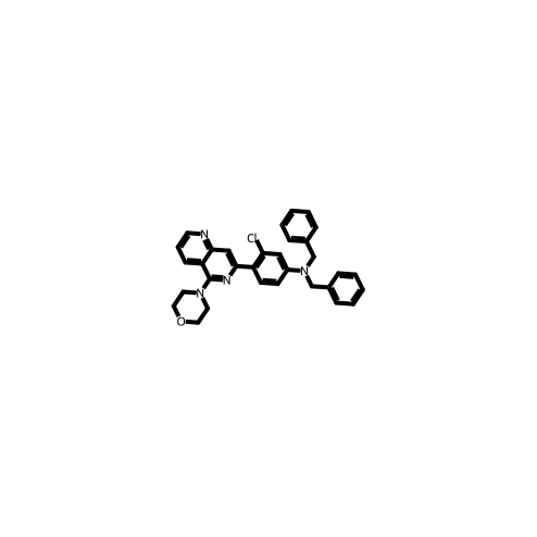 Clc1cc(N(Cc2ccccc2)Cc2ccccc2)ccc1-c1cc2ncccc2c(N2CCOCC2)n1